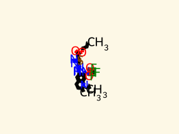 CCCCOC(=O)c1nnc(N=Nc2cc3c(cc2NS(=O)(=O)C(F)(F)F)N(CC)C(C)CC3)s1